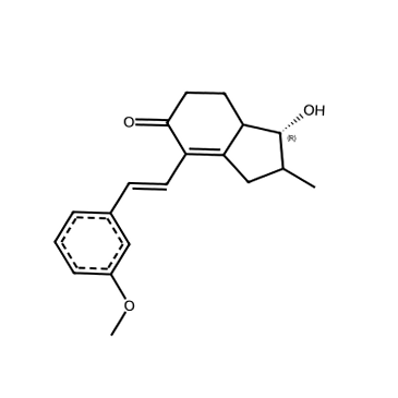 COc1cccc(C=CC2=C3CC(C)[C@@H](O)C3CCC2=O)c1